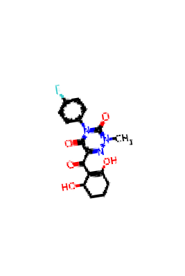 Cn1nc(C(=O)C2=C(O)CCCC2O)c(=O)n(-c2ccc(F)cc2)c1=O